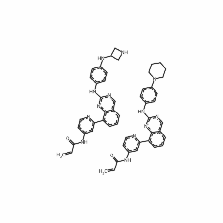 C=CC(=O)Nc1ccnc(-c2cccc3cnc(Nc4ccc(N5CCCCC5)cc4)nc23)c1.C=CC(=O)Nc1ccnc(-c2cccc3cnc(Nc4ccc(NC5CNC5)cc4)nc23)c1